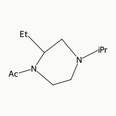 CCC1CN(C(C)C)CCN1C(C)=O